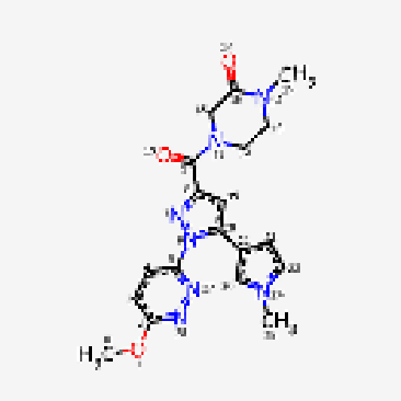 COc1ccc(-n2nc(C(=O)N3CCN(C)C(=O)C3)cc2-c2ccn(C)c2)nn1